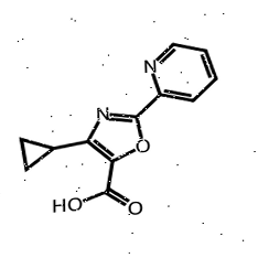 O=C(O)c1oc(-c2ccccn2)nc1C1CC1